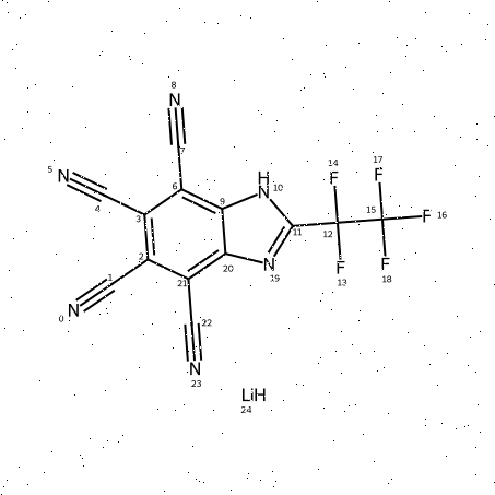 N#Cc1c(C#N)c(C#N)c2[nH]c(C(F)(F)C(F)(F)F)nc2c1C#N.[LiH]